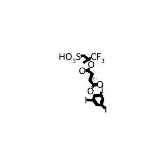 CC(CS(=O)(=O)O)(OC(=O)/C=C/C(=O)Oc1c(I)cc(I)cc1I)C(F)(F)F